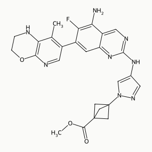 COC(=O)C12CC(n3cc(Nc4ncc5c(N)c(F)c(-c6cnc7c(c6C)NCCO7)cc5n4)cn3)(C1)C2